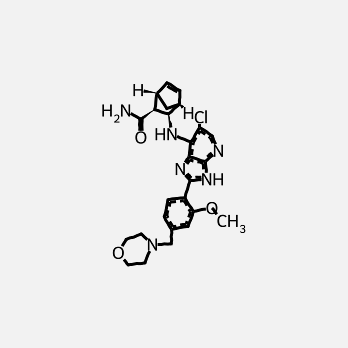 COc1cc(CN2CCOCC2)ccc1-c1nc2c(N[C@H]3[C@@H](C(N)=O)[C@@H]4C=C[C@H]3C4)c(Cl)cnc2[nH]1